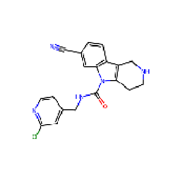 N#Cc1ccc2c3c(n(C(=O)NCc4ccnc(Cl)c4)c2c1)CCNC3